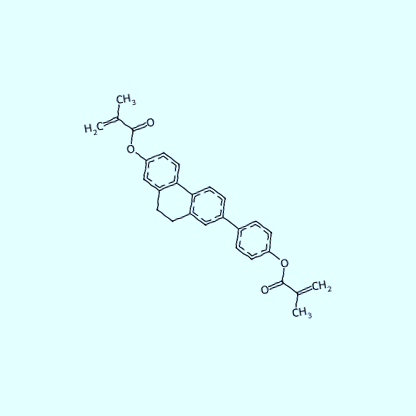 C=C(C)C(=O)Oc1ccc(-c2ccc3c(c2)CCc2cc(OC(=O)C(=C)C)ccc2-3)cc1